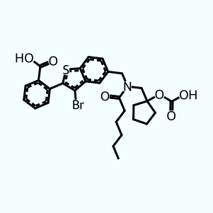 CCCCCC(=O)N(Cc1ccc2sc(-c3ccccc3C(=O)O)c(Br)c2c1)CC1(OC(=O)O)CCCC1